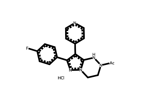 CC(=O)N1CCn2nc(-c3ccc(F)cc3)c(-c3ccncc3)c2N1.Cl